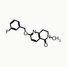 CN1CCc2nc(OCc3cccc(F)c3)ccc2C1=O